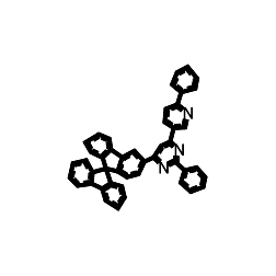 c1ccc(-c2ccc(-c3cc(-c4ccc5c(c4)-c4ccccc4C54c5ccccc5-c5ccccc54)nc(-c4ccccc4)n3)cn2)cc1